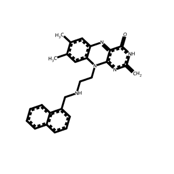 C=c1nc2c(c(=O)[nH]1)=Nc1cc(C)c(C)cc1N2CCNCc1cccc2ccccc12